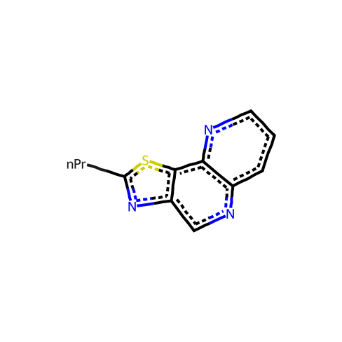 CCCc1nc2cnc3cccnc3c2s1